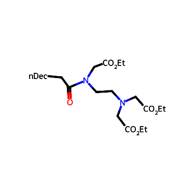 CCCCCCCCCCCC(=O)N(CCN(CC(=O)OCC)CC(=O)OCC)CC(=O)OCC